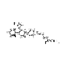 C=CCc1cc(-c2ccc(C#CCCCC(C)F)cc2)ccc1-c1ccccn1